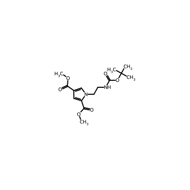 COC(=O)c1cc(C(=O)OC)n(CCNC(=O)OC(C)(C)C)c1